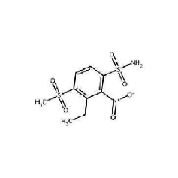 CCc1c(S(C)(=O)=O)ccc(S(N)(=O)=O)c1[N+](=O)[O-]